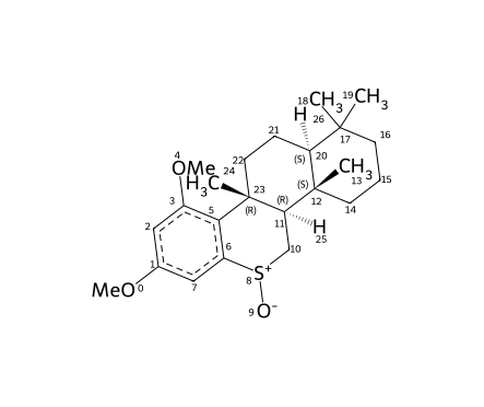 COc1cc(OC)c2c(c1)[S+]([O-])C[C@@H]1[C@@]3(C)CCCC(C)(C)[C@@H]3CC[C@@]21C